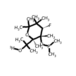 [3H]OC(C)(C)[C@@]1(C)OC(C)(C)C(C)(C)[C@H](F)[C@]1(C)OP(C)C